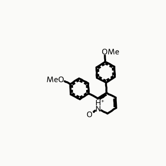 COc1ccc(C2=C(c3ccc(OC)cc3)[NH+]([O-])CC=C2)cc1